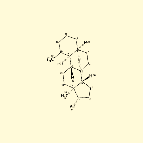 CC(=O)[C@H]1CC[C@H]2[C@@H]3CC[C@@H]4CCCC(C(F)(F)F)[C@@H]4[C@H]3CC[C@]12C